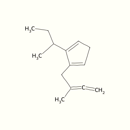 C=C=C(C)CC1=CCC=C1C(C)CC